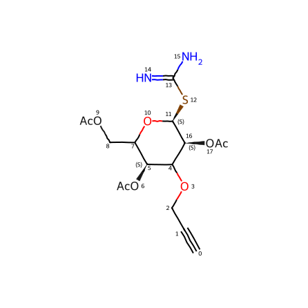 C#CCOC1[C@@H](OC(C)=O)C(COC(C)=O)O[C@@H](SC(=N)N)[C@H]1OC(C)=O